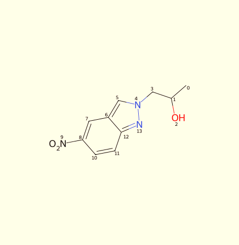 CC(O)Cn1cc2cc([N+](=O)[O-])ccc2n1